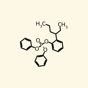 CCCC(CC)c1ccccc1OP(=O)(Oc1ccccc1)Oc1ccccc1